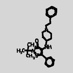 CC(C)(C)n1sc(-c2ccccc2)c(NC2CCN(CCc3ccccc3)CC2)c1=O